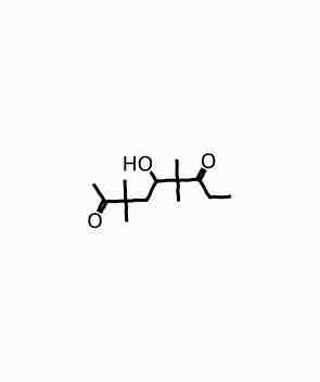 CCC(=O)C(C)(C)C(O)CC(C)(C)C(C)=O